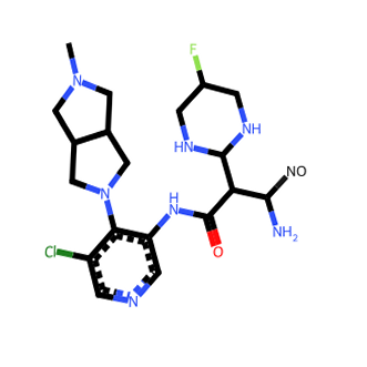 CN1CC2CN(c3c(Cl)cncc3NC(=O)C(C(N)N=O)C3NCC(F)CN3)CC2C1